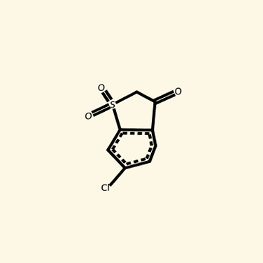 O=C1CS(=O)(=O)c2cc(Cl)ccc21